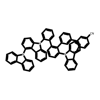 N#Cc1ccc(C#N)c(-c2cccc(-c3c(-c4ccccc4-n4c5ccccc5c5c(-n6c7ccccc7c7ccccc76)cccc54)cccc3-n3c4ccccc4c4ccccc43)c2)c1